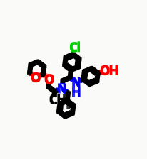 CC(COC1CCCCO1)N(Cc1ccccc1)CC(Nc1ccc(O)cc1)c1ccc(Cl)cc1